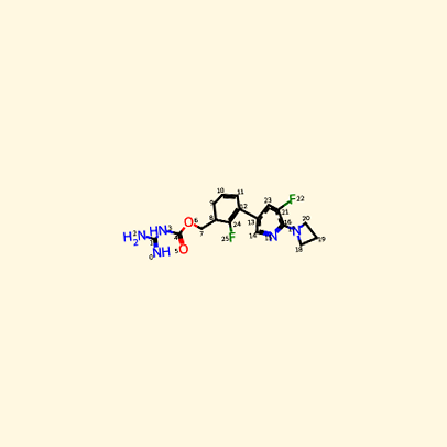 N=C(N)NC(=O)OCC1CC=CC(c2cnc(N3CCC3)c(F)c2)=C1F